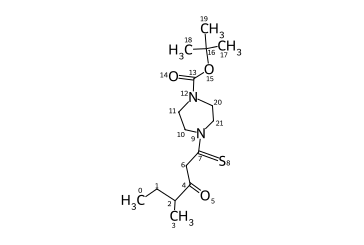 CCC(C)C(=O)CC(=S)N1CCN(C(=O)OC(C)(C)C)CC1